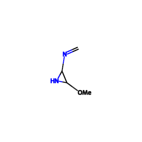 C=NC1NC1OC